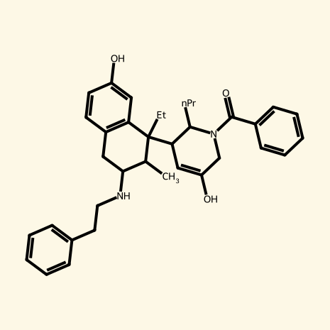 CCCC1C(C2(CC)c3cc(O)ccc3CC(NCCc3ccccc3)C2C)C=C(O)CN1C(=O)c1ccccc1